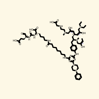 C/C=C(/O)CN(C)C(Cc1ccc(Nc2nc(NCCCCCCCC(=O)NCCCC[C@H](NC(=O)N[C@H](C=O)CCC(=O)O)C(=O)O)nc(N3CCN(c4ccccc4)CC3)n2)cc1)C[C@@H](/C=C(/O)CN(C)CCNCC(=O)O)/C=C(/O)CN(CC)CC